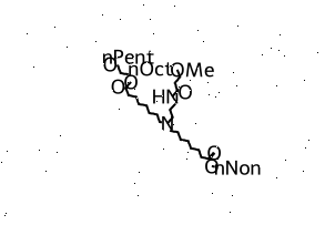 CCCCCCCCCOC(=O)CCCCCCCN(CCCCCCCC(=O)OC(CCCCCCCC)CCOCCCCC)CCCNC(=O)CCOC